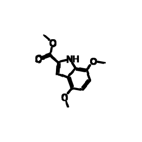 COC(=O)c1cc2c(OC)ccc(OC)c2[nH]1